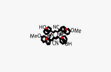 COc1ccc2sc(/C(C#N)=c3/cc(-c4ccc(O)cc4)n(B(c4ccccc4)c4ccccc4)/c(=C(/C#N)c4nc5cc(OC)ccc5s4)cc(-c4ccc(O)cc4)n3B(c3ccccc3)c3ccccc3)nc2c1